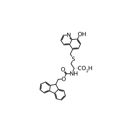 O=C(N[C@H](CSCc1ccc(O)c2ncccc12)C(=O)O)OCC1c2ccccc2-c2ccccc21